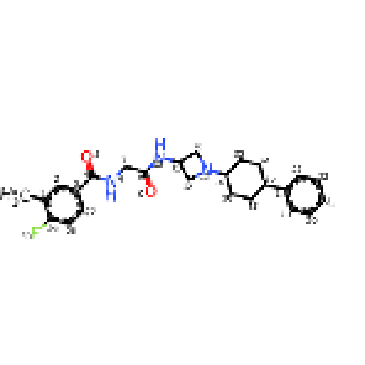 Cc1cc(C(=O)NCC(=O)NC2CN(C3CCC(c4ccccc4)CC3)C2)ccc1F